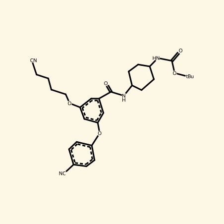 CC(C)(C)OC(=O)NC1CCC(NC(=O)c2cc(OCCCCC#N)cc(Oc3ccc(C#N)cc3)c2)CC1